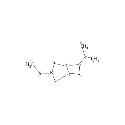 CSN1CC2CC(C(C)C)C2C1